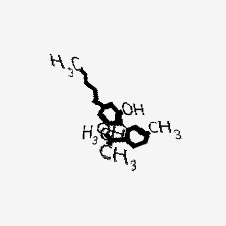 CCCCCc1cc(O)c([C@@H]2C=C(C)CCC2C(C)C)c(O)c1